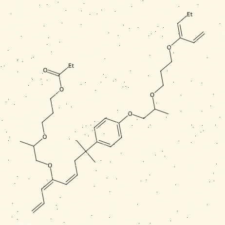 C=C/C=C(\C=C/CC(C)(C)c1ccc(OCC(C)OCCCO/C(C=C)=C/CC)cc1)OCC(C)OCCCOC(=O)CC